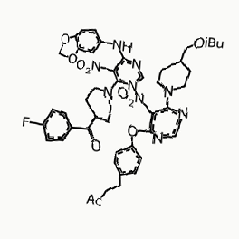 CC(=O)CCc1ccc(Oc2ncnc(N3CCC(COCC(C)C)CC3)c2[N+](=O)[O-])cc1.O=C(c1ccc(F)cc1)C1CCN(c2ncnc(Nc3ccc4c(c3)OCO4)c2[N+](=O)[O-])CC1